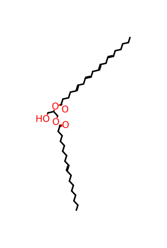 CCCCCC=CCC=CCC=CCC=CCCCC(=O)OC(CO)COC(=O)CCCCCCCC=CCCCCCCCC